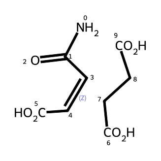 NC(=O)/C=C\C(=O)O.O=C(O)CCC(=O)O